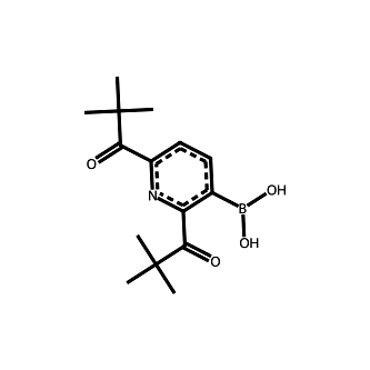 CC(C)(C)C(=O)c1ccc(B(O)O)c(C(=O)C(C)(C)C)n1